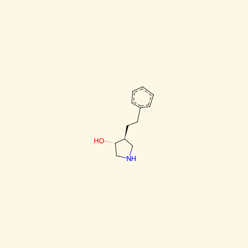 O[C@H]1CNC[C@@H]1CCc1ccccc1